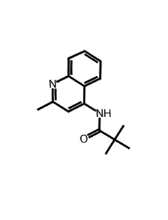 Cc1cc(NC(=O)C(C)(C)C)c2ccccc2n1